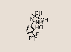 CC1(O)N=C(c2cccc(C(F)(F)F)c2)NC1(C)O.Cl